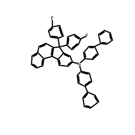 Fc1ccc(C2(c3ccc(F)cc3)c3cc(N(c4ccc(-c5ccccc5)cc4)c4ccc(-c5ccccc5)cc4)ccc3-c3c2ccc2ccccc32)cc1